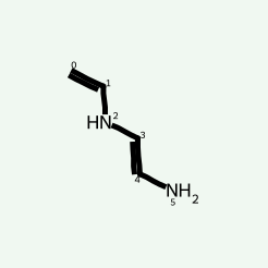 C=CNC=CN